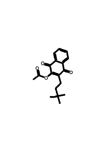 CC(=O)OC1=C(CCC(C)(C)C)C(=O)c2ccccc2C1=O